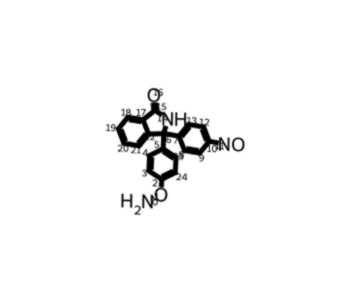 NOc1ccc(C2(c3ccc(N=O)cc3)NC(=O)c3ccccc32)cc1